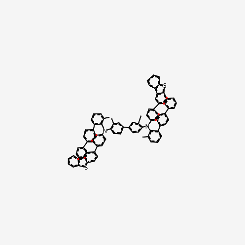 Cc1cc(-c2ccc(N(c3ccc(-c4ccc5sc6ccccc6c5c4)cc3)c3c(C)cccc3-c3ccc(-c4ccccc4)cc3)c(C)c2)ccc1N(c1ccc(-c2ccc3sc4ccccc4c3c2)cc1)c1c(C)cccc1-c1ccc(-c2ccccc2)cc1